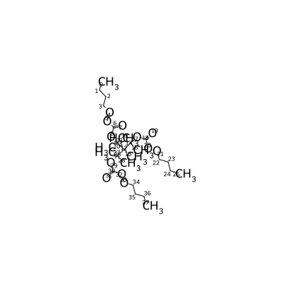 CCCCOOC(=O)OC(C)(C)C(C)(C(C)(C)OC(=O)OOCCCC)C(C)(C)OC(=O)OOCCCC